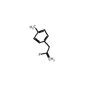 C=C(F)Cc1ccc(C)cc1